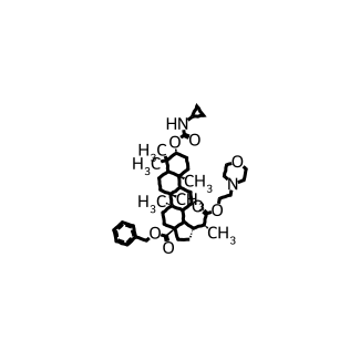 C[C@@H](C(=O)OCCN1CCOCC1)[C@@H]1CC[C@]2(C(=O)OCc3ccccc3)CC[C@]3(C)C(CCC4[C@@]5(C)CC[C@@H](OC(=O)NC6CC6)C(C)(C)C5CC[C@]43C)C12